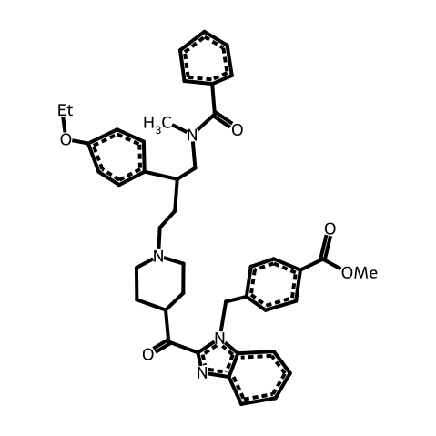 CCOc1ccc(C(CCN2CCC(C(=O)c3nc4ccccc4n3Cc3ccc(C(=O)OC)cc3)CC2)CN(C)C(=O)c2ccccc2)cc1